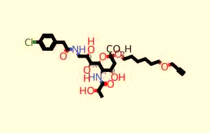 C#CCOCCCCCCO[C@]1(C(=O)O)C[C@H](O)[C@@H](NC(=O)C(C)O)[C@H]([C@H](O)[C@H](O)CNC(=O)Cc2ccc(Cl)cc2)O1